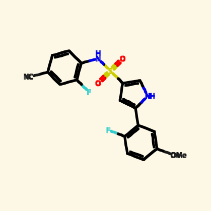 COc1ccc(F)c(-c2cc(S(=O)(=O)Nc3ccc(C#N)cc3F)c[nH]2)c1